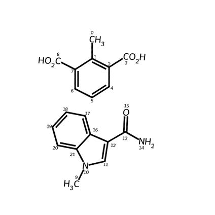 Cc1c(C(=O)O)cccc1C(=O)O.Cn1cc(C(N)=O)c2ccccc21